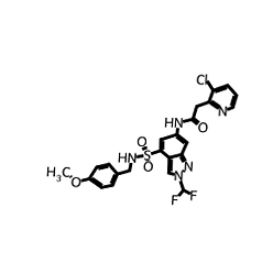 COc1ccc(CNS(=O)(=O)c2cc(NC(=O)Cc3ncccc3Cl)cc3nn(C(F)F)cc23)cc1